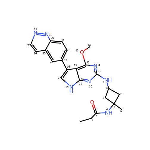 CCC(=O)NC1(C)CC(Nc2nc(OC)c3c(-c4ccc5nnccc5c4)c[nH]c3n2)C1